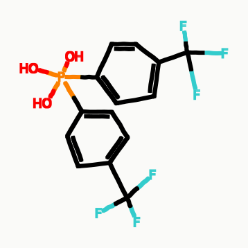 OP(O)(O)(c1ccc(C(F)(F)F)cc1)c1ccc(C(F)(F)F)cc1